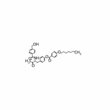 CCCCCCCOc1ccc(C(=O)Oc2ccc(C[C@H](NC(=O)c3ccc(CO)cc3)C(C)=O)cc2)cc1